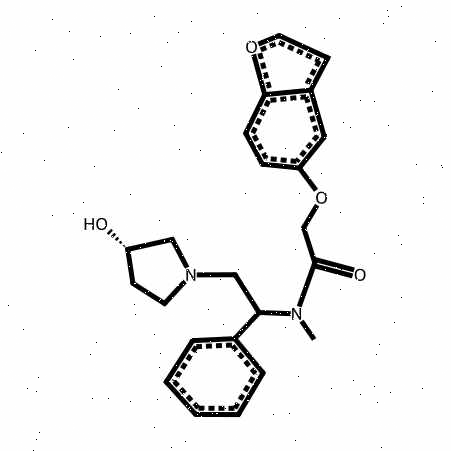 CN(C(=O)COc1ccc2occc2c1)C(CN1CC[C@H](O)C1)c1ccccc1